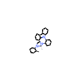 Cc1ccccc1N1C=CN(c2ccccc2-n2c3ccccc3c3ccccc32)[C@@H]1C